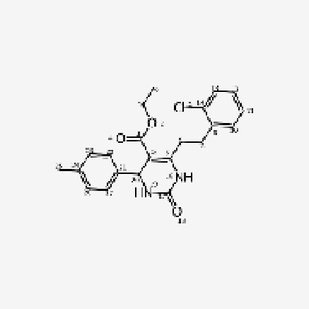 CCOC(=O)C1=C(CCc2ccccc2Cl)NC(=O)NC1c1ccc(C)cc1